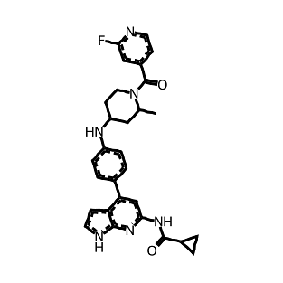 CC1CC(Nc2ccc(-c3cc(NC(=O)C4CC4)nc4[nH]ccc34)cc2)CCN1C(=O)c1ccnc(F)c1